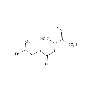 CC=C(C(=O)O)C(CC(=O)OCC(CC)CCCC)C(=O)O